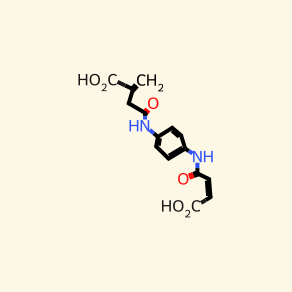 C=C(CC(=O)Nc1ccc(NC(=O)/C=C\C(=O)O)cc1)C(=O)O